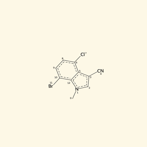 Cn1cc(C#N)c2c(Cl)ccc(Br)c21